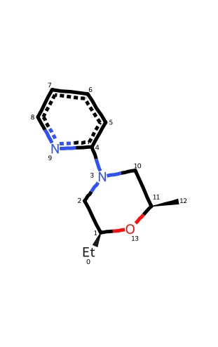 CC[C@H]1CN(c2ccccn2)C[C@@H](C)O1